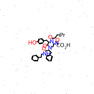 CC(C)CC1ON(C(=O)O)C2CN(C(Cc3ccccc3)C(=O)NCCc3ccccc3)C(=O)C(Cc3ccc(O)cc3)N2C1=O